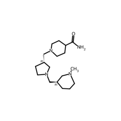 CN1CCC[C@@H](CN2CC[C@H](CN3CCC(C(N)=O)CC3)C2)C1